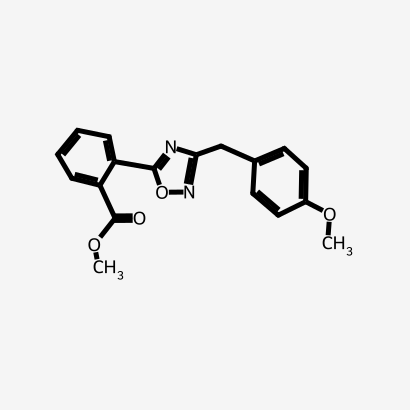 COC(=O)c1ccccc1-c1nc(Cc2ccc(OC)cc2)no1